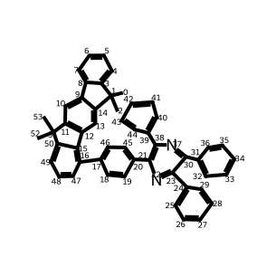 CC1(C)c2ccccc2-c2cc3c(cc21)-c1c(-c2ccc(-c4nc(-c5ccccc5)c(-c5ccccc5)nc4-c4ccccc4)cc2)cccc1C3(C)C